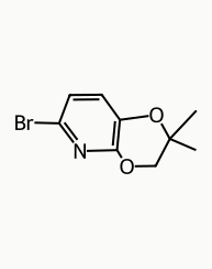 CC1(C)COc2nc(Br)ccc2O1